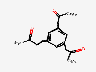 COC(=O)Cc1cc(C(=O)OC)cc(C(=O)OC)c1